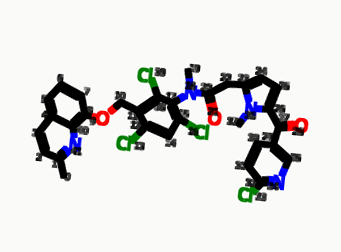 Cc1ccc2cccc(OCc3c(Cl)cc(Cl)c(N(C)C(=O)Cc4ccc(C(=O)c5ccc(Cl)nc5)n4C)c3Cl)c2n1